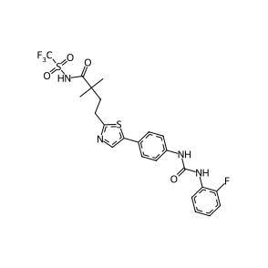 CC(C)(CCc1ncc(-c2ccc(NC(=O)Nc3ccccc3F)cc2)s1)C(=O)NS(=O)(=O)C(F)(F)F